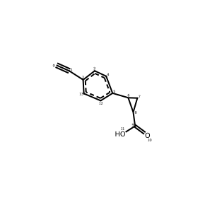 C#Cc1ccc(C2CC2C(=O)O)cc1